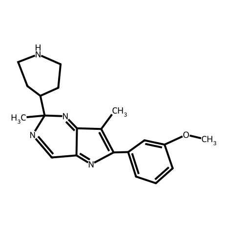 COc1cccc(C2=C(C)C3=NC(C)(C4CCNCC4)N=CC3=N2)c1